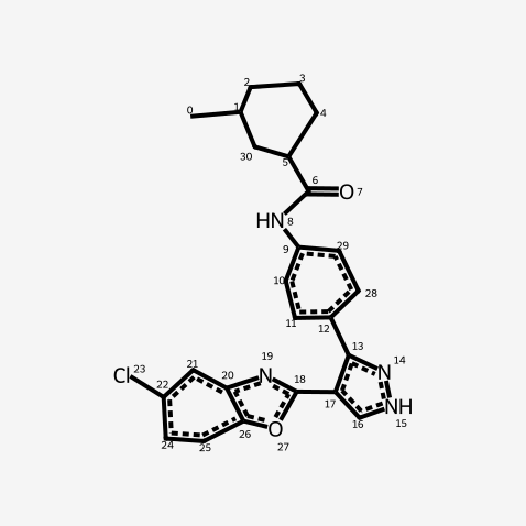 CC1CCCC(C(=O)Nc2ccc(-c3n[nH]cc3-c3nc4cc(Cl)ccc4o3)cc2)C1